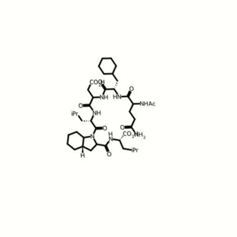 CC(=O)NC(CCC(N)=O)C(=O)N[C@@H](CC1CCCCC1)C(=O)NC(CC(=O)O)C(=O)N[C@@H](CC(C)C)C(=O)N1C(C(=O)N[C@@H](CC(C)C)C(=O)O)C[C@@H]2CCCCC21